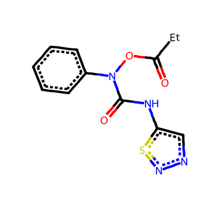 CCC(=O)ON(C(=O)Nc1cnns1)c1ccccc1